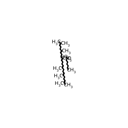 CC(C)=CCC/C(C)=C/CC/C(C)=C/CC/C=C(\C)CC/C=C(\C)CCC=C(C)C.CCCCCCC(=O)O